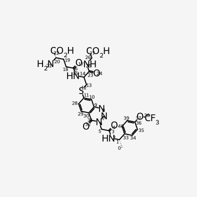 C[C@H](NC(=O)Cn1nnc2cc(SCC(NC(=O)CC[C@H](N)C(=O)O)C(=O)NCC(=O)O)ccc2c1=O)c1ccc(OC(F)(F)F)cc1